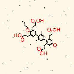 CCCCOc1c(CCC(=O)O)cc(-c2c(C)cc(-c3c(CCC(=O)O)cc(OC)cc3CCC(=O)O)cc2C)cc1CCC(=O)O